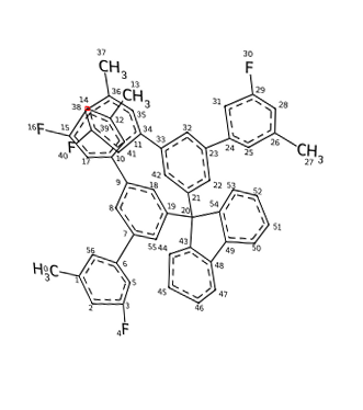 Cc1cc(F)cc(-c2cc(-c3cc(C)cc(F)c3)cc(C3(c4cc(-c5cc(C)cc(F)c5)cc(-c5cc(C)cc(F)c5)c4)c4ccccc4-c4ccccc43)c2)c1